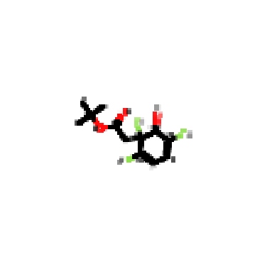 CC(C)(C)OC(=O)CC1(F)C(=O)C(F)=CC=C1F